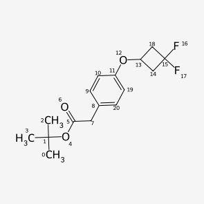 CC(C)(C)OC(=O)Cc1ccc(OC2CC(F)(F)C2)cc1